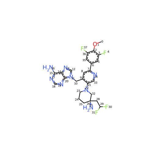 COc1c(F)cc(-c2cc(Cn3cnc4c(N)ncnc43)c(N3CCC[C@@](N)(CC(F)F)C3)cn2)cc1F